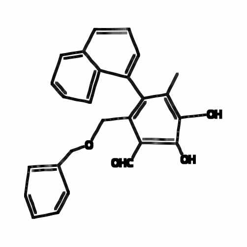 Cc1c(O)c(O)c(C=O)c(COCc2ccccc2)c1-c1cccc2ccccc12